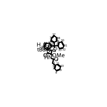 CO[C@@]1(NC(=O)Cc2ccccc2)C(=O)N([Si](C)(C)C(C)(C)C)[C@@H]1SC(c1ccccc1)(c1ccccc1)c1ccccc1